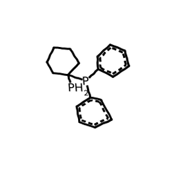 PC1(P(c2ccccc2)c2ccccc2)CCCCC1